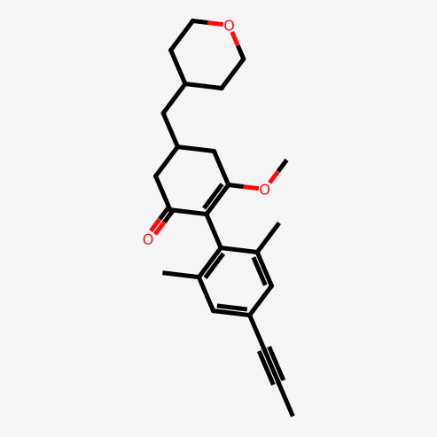 CC#Cc1cc(C)c(C2=C(OC)CC(CC3CCOCC3)CC2=O)c(C)c1